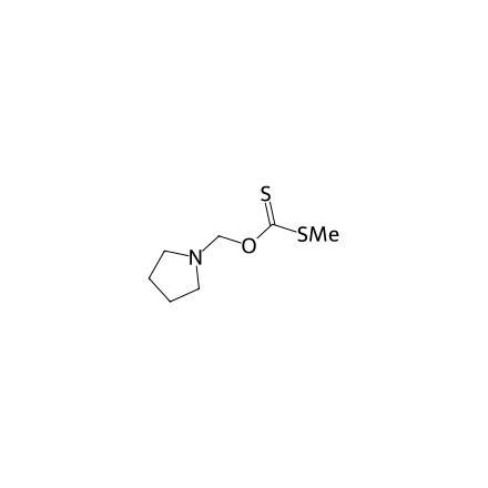 CSC(=S)OCN1CCCC1